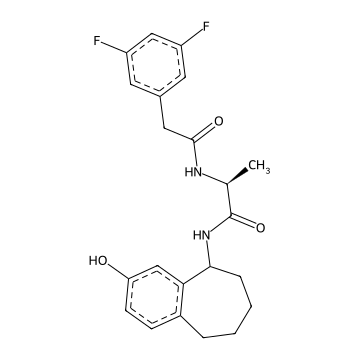 C[C@H](NC(=O)Cc1cc(F)cc(F)c1)C(=O)NC1CCCCc2ccc(O)cc21